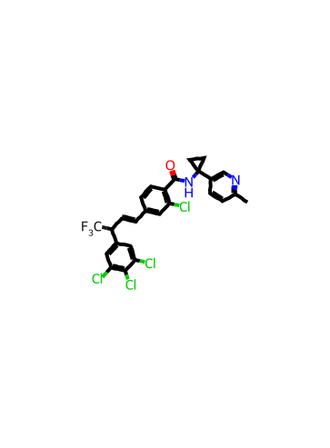 Cc1ccc(C2(NC(=O)c3ccc(/C=C/C(c4cc(Cl)c(Cl)c(Cl)c4)C(F)(F)F)cc3Cl)CC2)cn1